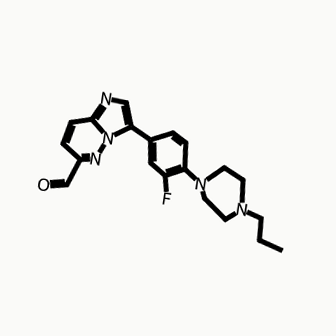 CCCN1CCN(c2ccc(-c3cnc4ccc(C=O)nn34)cc2F)CC1